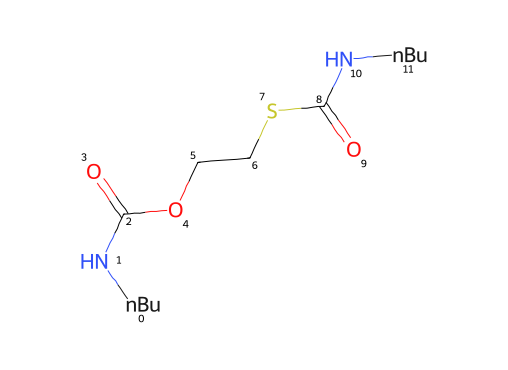 CCCCNC(=O)OCCSC(=O)NCCCC